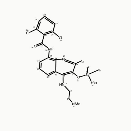 CNCCNc1c(O[Si](C)(C)C(C)(C)C)c(C)nc2c(NC(=O)c3c(Cl)cccc3Cl)cccc12